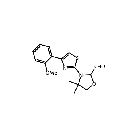 COc1ccccc1-c1csc(N2C(C=O)OCC2(C)C)n1